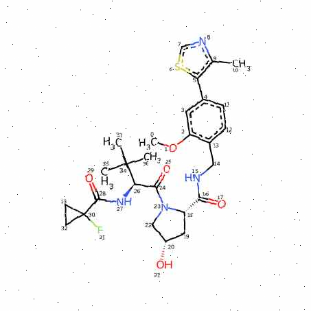 COc1cc(-c2scnc2C)ccc1CNC(=O)[C@@H]1C[C@H](O)CN1C(=O)[C@@H](NC(=O)C1(F)CC1)C(C)(C)C